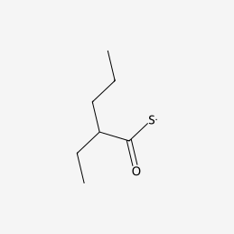 CCCC(CC)C(=O)[S]